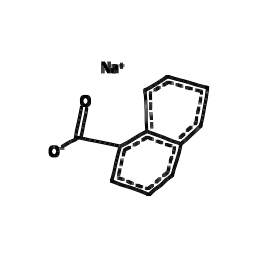 O=C([O-])c1cccc2ccccc12.[Na+]